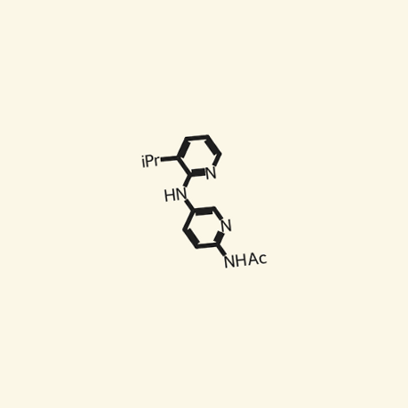 CC(=O)Nc1ccc(Nc2ncccc2C(C)C)cn1